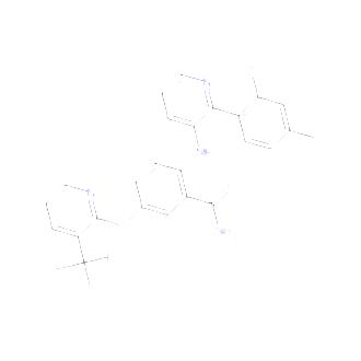 Cc1ccc(-c2ncccc2Nc2ccc(Oc3ncccc3C(F)(F)F)cc2C(N)=O)c(F)c1